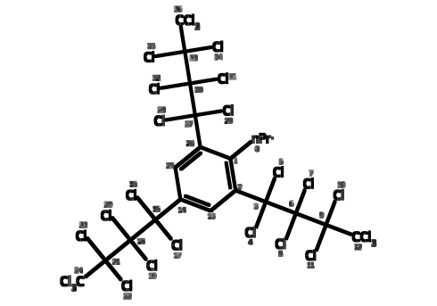 CC[CH]c1c(C(Cl)(Cl)C(Cl)(Cl)C(Cl)(Cl)C(Cl)(Cl)Cl)cc(C(Cl)(Cl)C(Cl)(Cl)C(Cl)(Cl)C(Cl)(Cl)Cl)cc1C(Cl)(Cl)C(Cl)(Cl)C(Cl)(Cl)C(Cl)(Cl)Cl